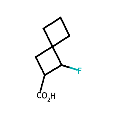 O=C(O)C1CC2(CCC2)C1F